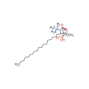 CCCCCCCCCCCCCCCCCCC(C(C(=O)[O-])[N+](C)(C)C)(C(C)(C)CC)S(=O)(=O)O